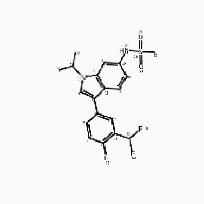 CC(C)n1cc(-c2ccc(F)c(C(F)F)c2)c2ccc(NS(C)(=O)=O)cc21